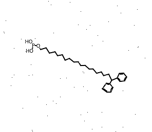 OP(O)OCCCCCCCCCCCCCCCCCCC(c1ccccc1)c1ccccc1